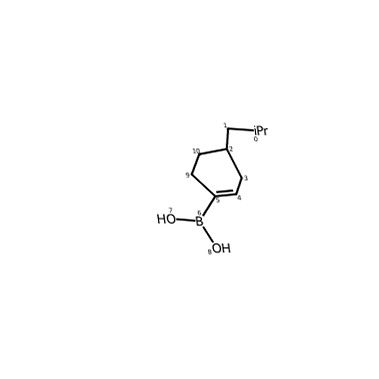 CC(C)CC1CC=C(B(O)O)CC1